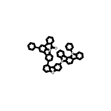 O=c1c2ccccc2c2cc(-c3ccccc3)cc3c4cc(-c5cccc6oc7ccc(-n8c9ccccc9c9c8ccc8c%10ccccc%10n(-c%10ccccc%10)c89)cc7c56)ccc4n1c23